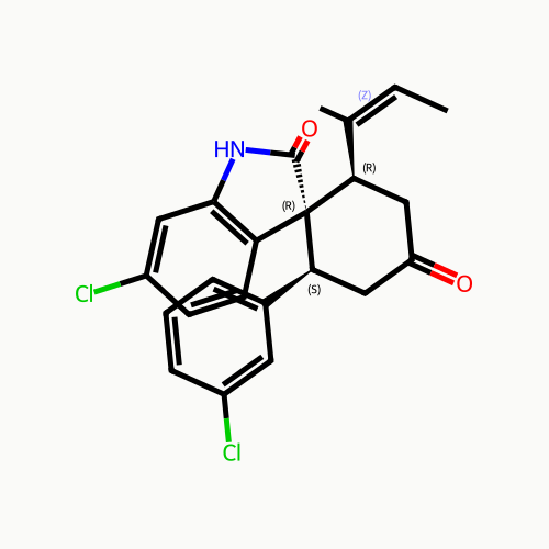 C/C=C(/C)[C@H]1CC(=O)C[C@@H](c2cccc(Cl)c2)[C@]12C(=O)Nc1cc(Cl)ccc12